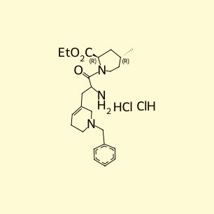 CCOC(=O)[C@H]1C[C@H](C)CCN1C(=O)C(N)CC1=CCCN(Cc2ccccc2)C1.Cl.Cl